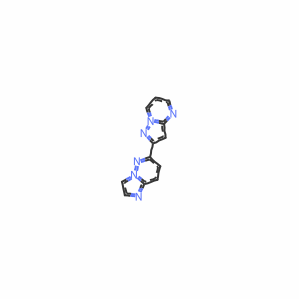 c1cnc2cc(-c3ccc4nccn4n3)nn2c1